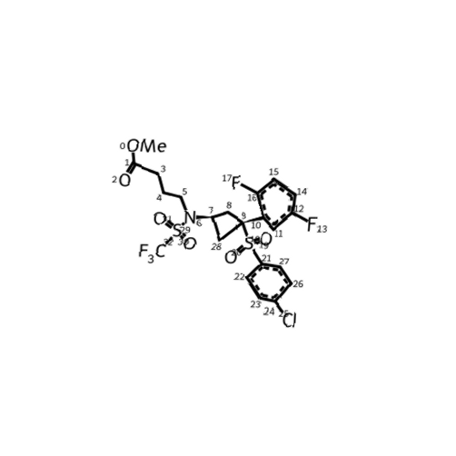 COC(=O)CCCN([C@H]1C[C@](c2cc(F)ccc2F)(S(=O)(=O)c2ccc(Cl)cc2)C1)S(=O)(=O)C(F)(F)F